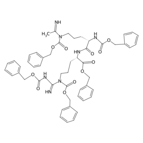 CC(=N)N(CCC[C@H](NC(=O)OCc1ccccc1)C(=O)N[C@@H](CCCN(C(=N)NC(=O)OCc1ccccc1)C(=O)OCc1ccccc1)C(=O)OCc1ccccc1)C(=O)OCc1ccccc1